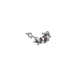 C=C1/C(=C\C=C2/CCC[C@@]3(C)C2CCC3[C@@H](C)/C=C/C(O)C2CC2)C[C@@H](C)C[C@@H]1OC(=O)NC1CC(C)(C)CC(C)(NC(=O)OC2CC3OCC3(OC(C)=O)C3C(OC(=O)c4ccccc4)C4(O)CC(OC(=O)C(O)C(NC(=O)c5ccccc5)c5ccccc5)C(C)=C(C(OC(C)=O)C(=O)C23C)C4(C)C)C1